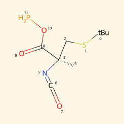 CC(C)(C)SC[C@@](C)(N=C=O)C(=O)OP